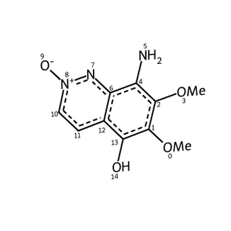 COc1c(OC)c(N)c2n[n+]([O-])ccc2c1O